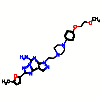 COCCOc1ccc(N2CCN(CCn3ncc4c3nc(N)n3nc(-c5ccc(C)o5)nc43)CC2)cc1